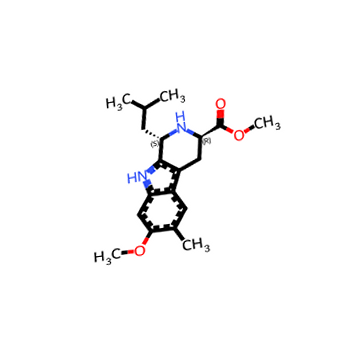 COC(=O)[C@H]1Cc2c([nH]c3cc(OC)c(C)cc23)[C@H](CC(C)C)N1